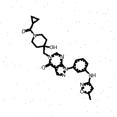 Cc1cc(Nc2cccc(-n3ncc4c(=O)n(CC5(O)CCN(C(=O)C6CC6)CC5)cnc43)c2)no1